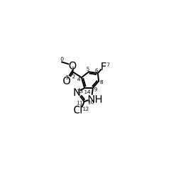 COC(=O)c1cc(F)cc2[nH]c(Cl)nc12